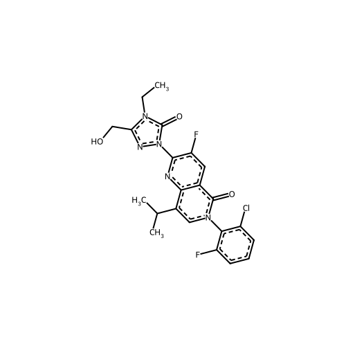 CCn1c(CO)nn(-c2nc3c(C(C)C)cn(-c4c(F)cccc4Cl)c(=O)c3cc2F)c1=O